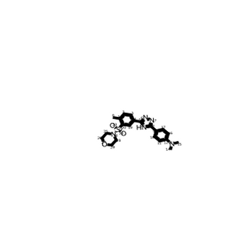 Cc1ccc(-c2nnc(-c3ccc(N(C)C)cc3)[nH]2)cc1S(=O)(=O)N1CCOCC1